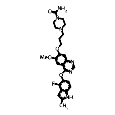 COc1cc2c(Oc3ccc4[nH]c(C)cc4c3F)ncnc2cc1OCCCN1CCN(C(N)=O)CC1